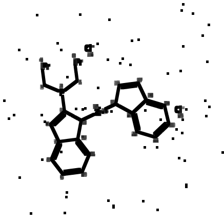 CC(C)CP(CC(C)C)C1=Cc2ccccc2[CH]1[Zr+2][CH]1C=Cc2ccccc21.[Cl-].[Cl-]